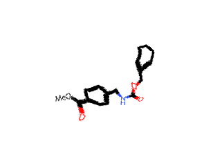 COC(=O)c1ccc(CNC(=O)OCc2ccccc2)cc1